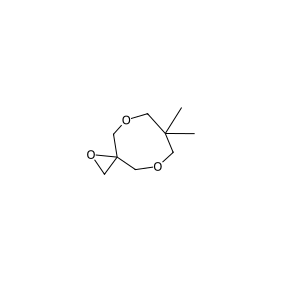 CC1(C)COCC2(COC1)CO2